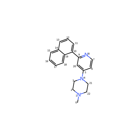 CN1CCN(c2ccnc(-c3cccc4ccccc34)c2)CC1